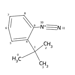 CC(C)(C)c1ccccc1[N+]#N